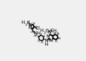 CN(C)c1nc(N[C@H]2CC[C@@H](CNCc3nn(C)cc3Cl)CC2)nc2ccccc12